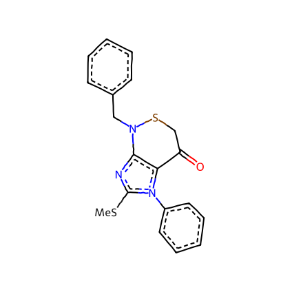 CSc1nc2c(n1-c1ccccc1)C(=O)CSN2Cc1ccccc1